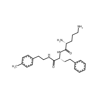 Cc1ccc(CCNC(=O)[C@@H](CCc2ccccc2)NC(=O)[C@H](N)CCCN)cc1